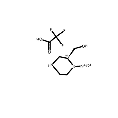 CCCCCCCN1CCNC[C@H]1CO.O=C(O)C(F)(F)F